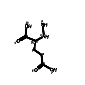 [NH]N[C@@H](CCC(=O)O)C(=O)O